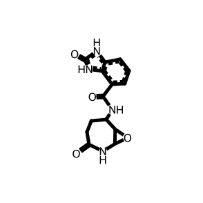 O=C1CCC(NC(=O)c2cccc3[nH]c(=O)[nH]c23)C2OC2N1